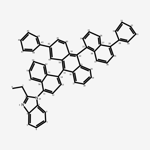 CCc1nc2ccccc2n1-c1ccc(-c2c3ccccc3c(-c3cccc4c(-c5ccccc5)cccc34)c3ccc(-c4ccccc4)cc23)c2ccccc12